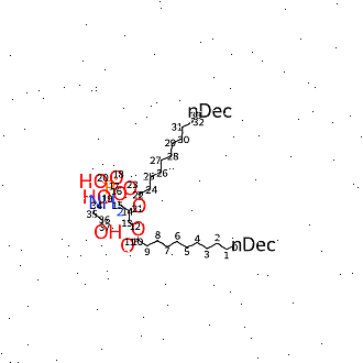 CCCCCCCCCCCCCCCCCCCC(=O)OCC(COP(=O)(O)O)OC(=O)CCCCCCCCCCCCCCCCCCC.NCCO